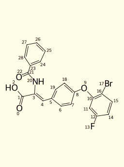 O=C(O)C(=Cc1ccc(Oc2cc(F)ccc2Br)cc1)NC(=O)c1ccccc1